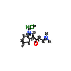 Cc1ccc2c(c1)c(C(=O)CCN(C)C)cn2C.Cl